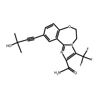 CC(C)(O)C#Cc1ccc2c(c1)-c1nc(C(N)=O)c(C(F)(F)F)n1CCO2